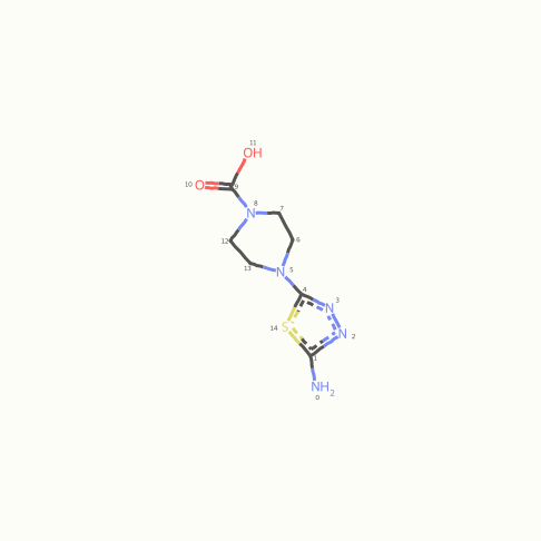 Nc1nnc(N2CCN(C(=O)O)CC2)s1